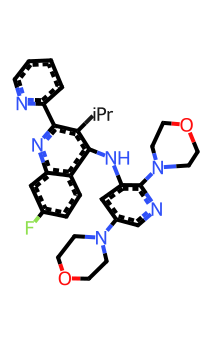 CC(C)c1c(-c2ccccn2)nc2cc(F)ccc2c1Nc1cc(N2CCOCC2)cnc1N1CCOCC1